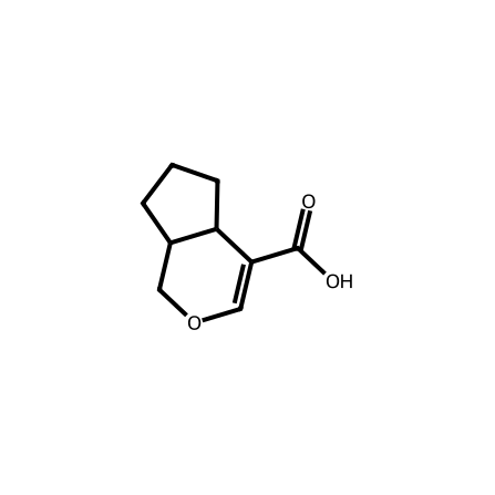 O=C(O)C1=COCC2CCCC12